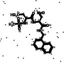 COC[C@H](NC(=O)[C@H](CC(=O)O)NS(C)(=O)=O)C(=O)NCc1cccc2ccccc12